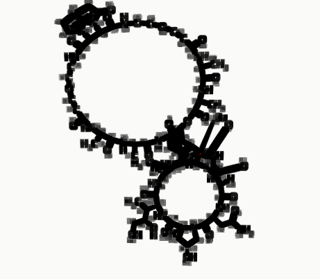 CC[C@H](C)[C@@H]1CNC(=O)CNC(=O)[C@@H]2Cc3c([nH]c4cc5c(cc34)NC(=O)C(C)NC(=O)C(C)NC(=O)CCOCCNC(=O)C(N3CC=CC3=O)C(N3C(=O)C=CC3=O)C(=O)NCCOCCC(=O)NC(C)C(=O)NC(C)C(=O)O5)SC[C@H](NC(=O)CNC1=O)C(=O)N[C@@H](CC(N)=O)C(=O)N1C[C@H](O)C[C@H]1C(=O)N[C@@H](C(C)[C@@H](O)CO)C(=O)N2